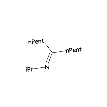 CCCCCC(CCCCC)=NC(C)C